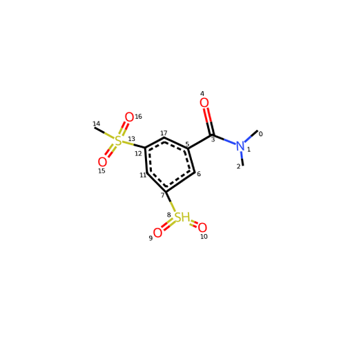 CN(C)C(=O)c1cc([SH](=O)=O)cc(S(C)(=O)=O)c1